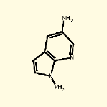 Nc1cnc2c(ccn2P)c1